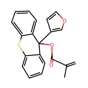 C=C(C)C(=O)OC1(c2ccoc2)c2ccccc2Sc2ccccc21